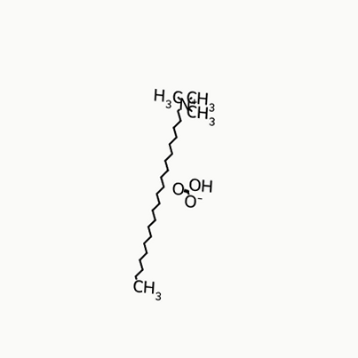 CCCCCCCCCCCCCCCCCCCCCC[N+](C)(C)C.O=C([O-])O